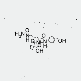 NC(=O)NCCCC(NC(=O)C1(C(=O)O)CCC1)C(=O)Nc1ccc(CO)cc1